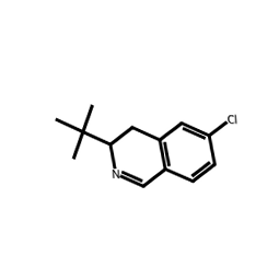 CC(C)(C)C1Cc2cc(Cl)ccc2C=N1